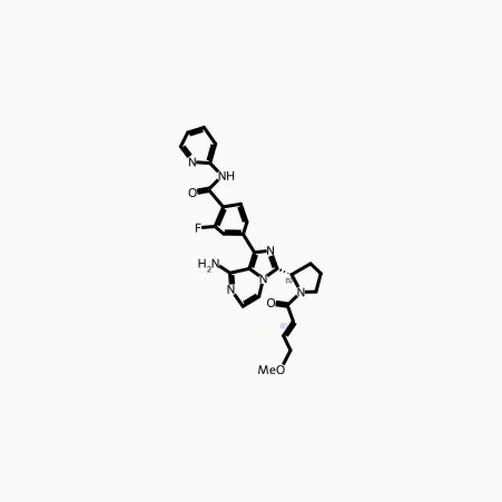 COC/C=C/C(=O)N1CCC[C@H]1c1nc(-c2ccc(C(=O)Nc3ccccn3)c(F)c2)c2c(N)nccn12